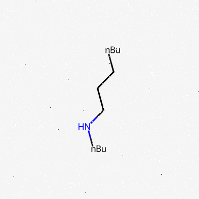 CCCCCCCNCCCC